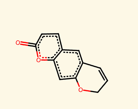 O=c1ccc2cc3c(cc2o1)OCC=C3